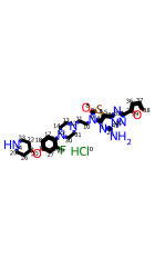 Cl.Nc1nc2c(sc(=O)n2CCN2CCN(c3ccc(OC4CCNCC4)cc3F)CC2)c2nc(-c3ccco3)nn12